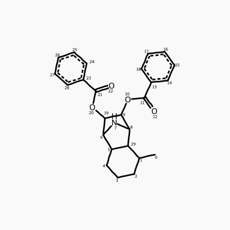 CC1CCCC2C3NC(C(OC(=O)c4ccccc4)C3OC(=O)c3ccccc3)C12